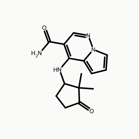 CC1(C)C(=O)CCC1Nc1c(C(N)=O)cnn2cccc12